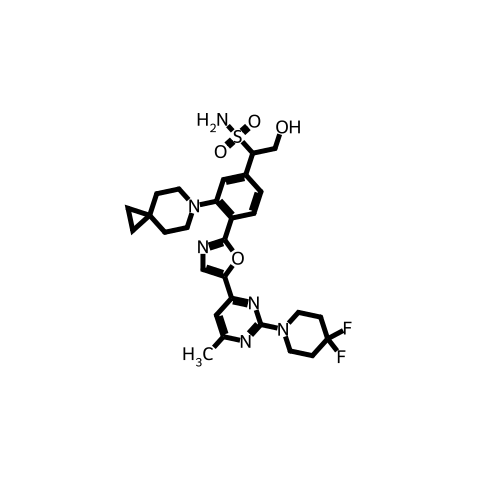 Cc1cc(-c2cnc(-c3ccc(C(CO)S(N)(=O)=O)cc3N3CCC4(CC3)CC4)o2)nc(N2CCC(F)(F)CC2)n1